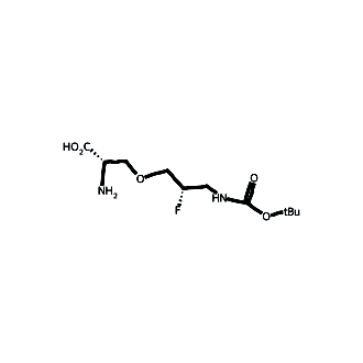 CC(C)(C)OC(=O)NC[C@H](F)COC[C@H](N)C(=O)O